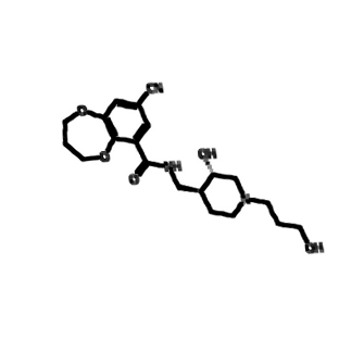 N#Cc1cc2c(c(C(=O)NC[C@@H]3CCN(CCCO)C[C@H]3O)c1)OCCCO2